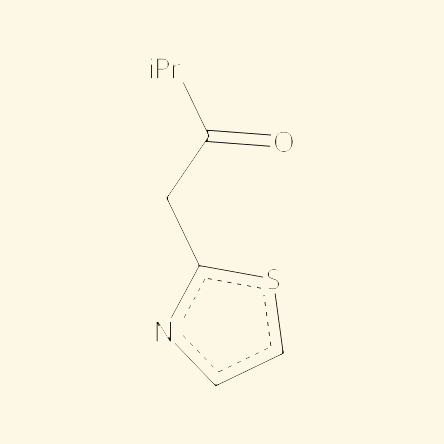 CC(C)C(=O)Cc1nccs1